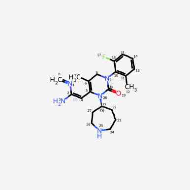 C=N/C(N)=C\C1=C(C)CN(c2c(C)cccc2F)C(=O)N1[C@H]1CCCNCC1